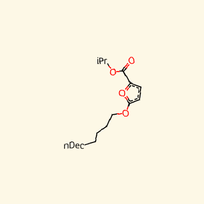 CCCCCCCCCCCCCCOc1ccc(C(=O)OC(C)C)o1